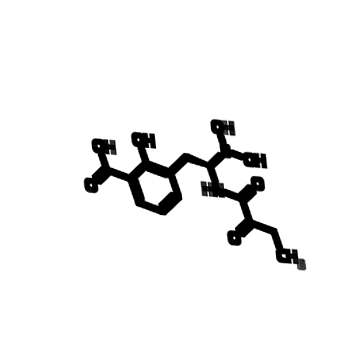 CCC(=O)C(=O)N[C@@H](Cc1cccc(C(=O)O)c1O)B(O)O